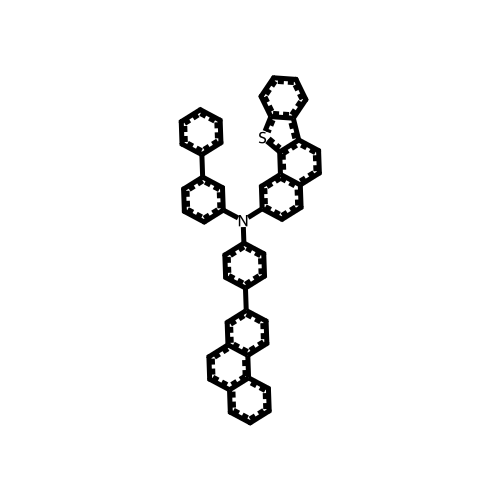 c1ccc(-c2cccc(N(c3ccc(-c4ccc5c(ccc6ccccc65)c4)cc3)c3ccc4ccc5c6ccccc6sc5c4c3)c2)cc1